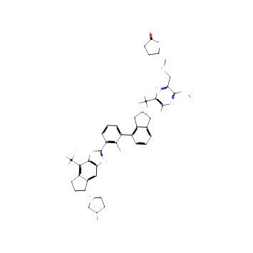 COc1nc(O[C@H]2CCc3c(-c4cccc(-c5nc6cc7c(c(C(F)(F)F)c6o5)CC[C@H]7N5CC[C@@H](O)C5)c4C)cccc32)c(C(F)(F)F)nc1CNC[C@H]1CCC(=O)N1